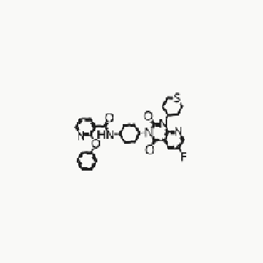 O=C(N[C@H]1CC[C@@H](n2c(=O)c3cc(F)cnc3n(C3CCSCC3)c2=O)CC1)c1cccnc1Oc1ccccc1